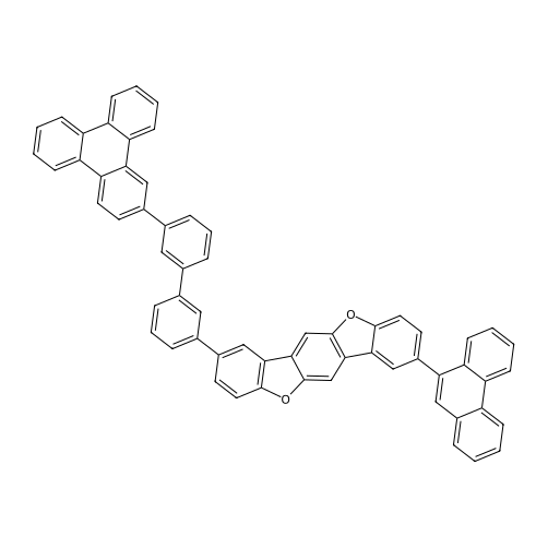 c1cc(-c2cccc(-c3ccc4c5ccccc5c5ccccc5c4c3)c2)cc(-c2ccc3oc4cc5c(cc4c3c2)oc2ccc(-c3cc4ccccc4c4ccccc34)cc25)c1